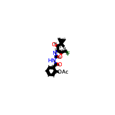 CC(=O)Oc1ccccc1C(=O)Nc1nc(C(=O)C2(C)CC2)c(CF)o1